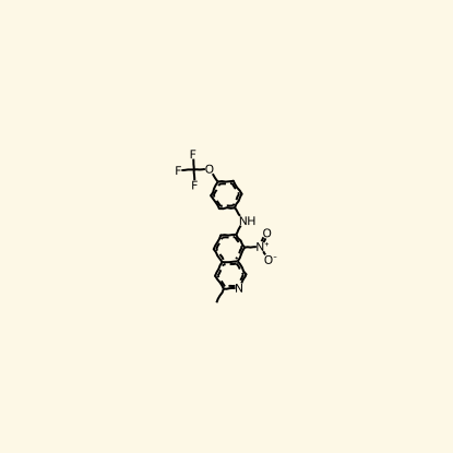 Cc1cc2ccc(Nc3ccc(OC(F)(F)F)cc3)c([N+](=O)[O-])c2cn1